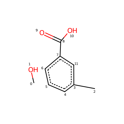 CO.Cc1cccc(C(=O)O)c1